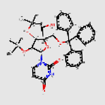 CC(C)(C)[Si](C)(C)OC1[C@H](n2ccc(=O)[nH]c2=O)O[C@@](CO)(COC(c2ccccc2)(c2ccccc2)c2ccccc2)[C@H]1O[Si](C)(C)C(C)(C)C